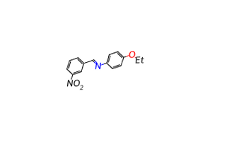 CCOc1ccc(N=Cc2cccc([N+](=O)[O-])c2)cc1